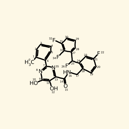 Cc1ccccc1-c1nc(O)c(O)c(C(=O)NCc2ccc(F)cc2C(F)c2cccc(F)c2F)n1